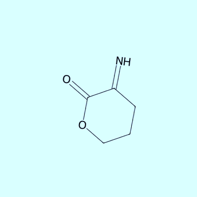 N=C1CCCOC1=O